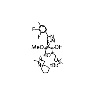 CO[C@@H]1[C@@H](n2cc(-c3ccc(C)c(F)c3F)nn2)[C@@H](O)[C@@H](CO[Si](C)(C)C(C)(C)C)O[C@@H]1CN1CC2(CCCCC2)N=C1C